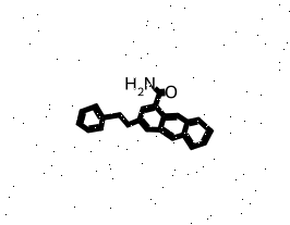 NC(=O)c1cc(CCc2ccccc2)cc2cc3ccccc3cc12